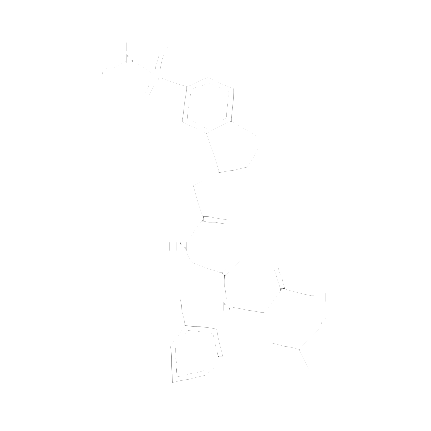 CNS(=O)(=O)c1ccc2c(c1)C(CC(=O)N[C@@H](Cc1ccccc1)C(=O)N[C@@H](CC(C)C)C(=O)O)CO2